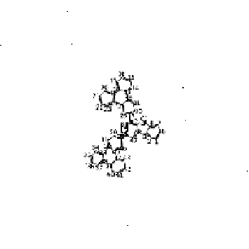 c1ccc2c(c1)sc1c(-c3ccc4c5ccccc5c5ccccc5c4c3)nc(-c3ccc4c5ccccc5c5ccccc5c4c3)cc12